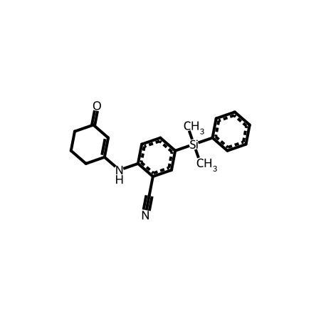 C[Si](C)(c1ccccc1)c1ccc(NC2=CC(=O)CCC2)c(C#N)c1